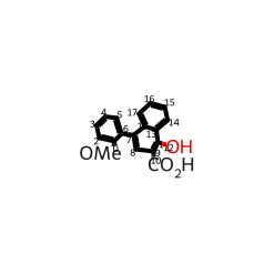 COc1ccccc1-c1cc(C(=O)O)c(O)c2ccccc12